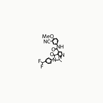 COc1ccc(NC(=O)c2cnn3c2C(=O)N(c2ccc(C(F)F)cc2)C[C@@H]3C)cc1C#N